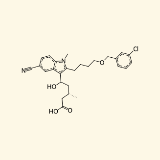 C[C@H](CC(=O)O)CC(O)c1c(CCCCOCc2cccc(Cl)c2)n(C)c2ccc(C#N)cc12